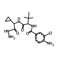 CC(C)(C)C(NC(=O)c1ccc(N)c(Cl)c1)C(=O)NC(C(=O)NN)C1CC1